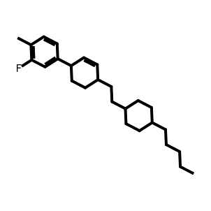 CCCCCC1CCC(CCC2C=CC(c3ccc(C)c(F)c3)CC2)CC1